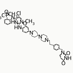 COc1cc(N2CCC(N3CCN(CCc4ccc(Cn5ccc(=O)[nH]c5=O)cc4)CC3)CC2)ccc1Nc1ncc(Cl)c(Nc2ccccc2P(C)(C)=O)n1